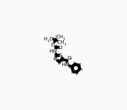 CC(C)(C)OC(=O)Nc1ncc(C(=O)Nc2ccccc2)s1